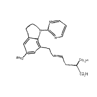 COc1cc(CC=CCC(C(=O)O)C(=O)O)c2c(c1)CCN2c1ncccn1